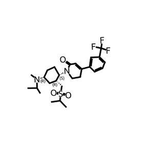 CC(C)N(C)[C@@H]1CC[C@H](N2CCC(c3cccc(C(F)(F)F)c3)=CC2=O)[C@H](CS(=O)(=O)C(C)C)C1